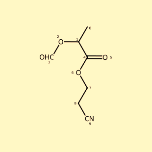 CC(OC=O)C(=O)OCCC#N